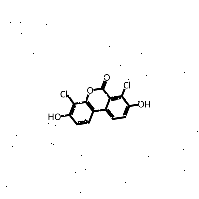 O=c1oc2c(Cl)c(O)ccc2c2ccc(O)c(Cl)c12